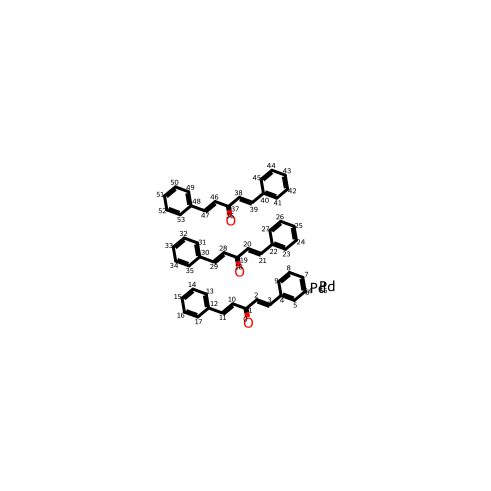 O=C(C=Cc1ccccc1)/C=C/c1ccccc1.O=C(C=Cc1ccccc1)/C=C/c1ccccc1.O=C(C=Cc1ccccc1)/C=C/c1ccccc1.[Pd].[Pd]